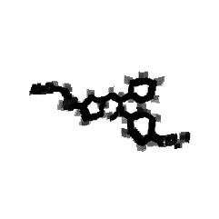 COCOC1CCN(CC(c2ccccc2)N(C)c2ccc(C(=O)O)cn2)C1